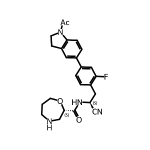 CC(=O)N1CCc2cc(-c3ccc(C[C@@H](C#N)NC(=O)[C@@H]4CNCCCO4)c(F)c3)ccc21